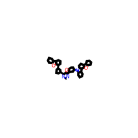 c1cc(-c2cccc3c2oc2ccccc23)cc(-c2ncnc3c2oc2ccc(-n4c5ccccc5c5c6oc7ccccc7c6ccc54)cc23)c1